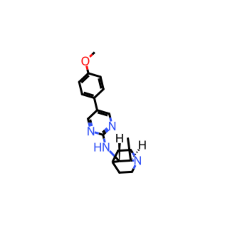 COc1ccc(-c2cnc(N[C@H]3C4CCN(CC4)[C@@H]3C)nc2)cc1